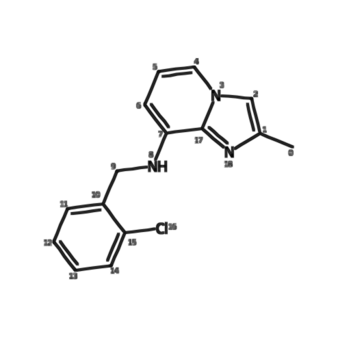 Cc1cn2cccc(NCc3ccccc3Cl)c2n1